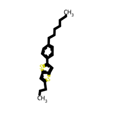 CCCCCCCc1ccc(-c2cc3sc(CCC)cc3s2)cc1